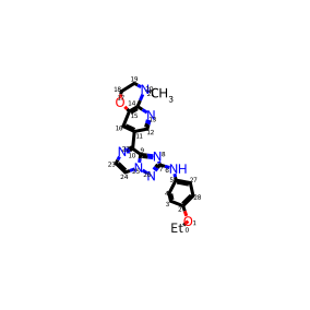 CCOc1ccc(Nc2nc3c(-c4cnc5c(c4)OCCN5C)nccn3n2)cc1